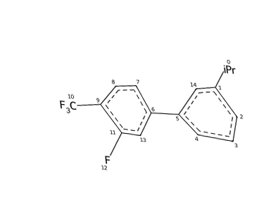 CC(C)c1cccc(-c2ccc(C(F)(F)F)c(F)c2)c1